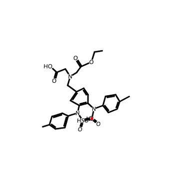 CCOC(=O)CN(CC(=O)O)Cc1ccc(N(c2ccc(C)cc2)[SH](=O)=O)c(N(c2ccc(C)cc2)[SH](=O)=O)c1